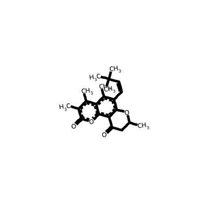 Cc1c(C)c2c(C)c(/C=C\C(C)(C)C)c3c(c2oc1=O)C(=O)CC(C)O3